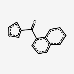 O=C(c1[c]scc1)c1cccc2ccccc12